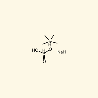 C[SH](C)(C)(C)O[PH](=O)O.[NaH]